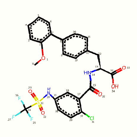 COc1ccccc1-c1ccc(C[C@H](NC(=O)c2cc(NS(=O)(=O)C(F)(F)F)ccc2Cl)C(=O)O)cc1